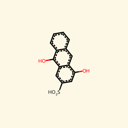 O=S(=O)(O)c1cc(O)c2cc3ccccc3c(O)c2c1